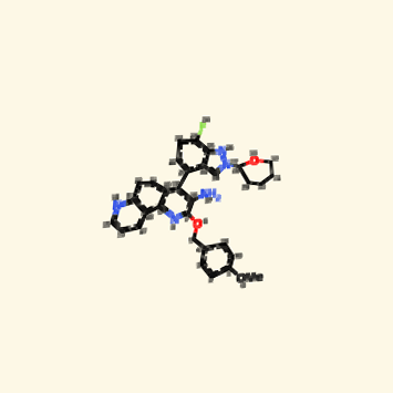 COc1ccc(COc2nc3c(ccc4ncccc43)c(-c3ccc(F)c4nn(C5CCCCO5)cc34)c2N)cc1